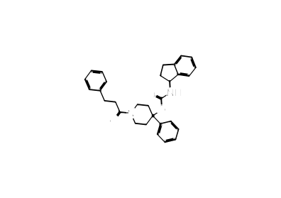 O=C(NC1CCc2ccccc21)OC1(c2ccccc2)CCN(C(=O)CCc2ccccc2)CC1